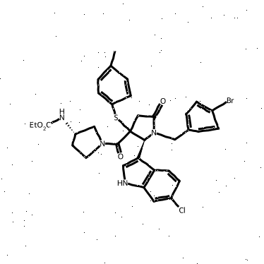 CCOC(=O)N[C@H]1CCN(C(=O)C2(Sc3ccc(C)cc3)CC(=O)N(Cc3ccc(Br)cc3)[C@H]2c2c[nH]c3cc(Cl)ccc23)C1